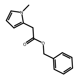 Cn1cccc1CC(=O)OCc1ccccc1